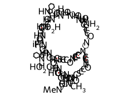 CNCC(=O)CN[C@@H](C)C(=O)N[C@H]1CSCCC(=O)N2CCC(CC2)N2C3CCN(CC3)C(=O)CCSC[C@@H](C(N)=O)NC(=O)[C@@H]3CCCN3C(=O)[C@H](C(C)C)NC(=O)[C@H](Cc3c[nH]c4ccccc34)NC(=O)CNC(=O)[C@H](CC(=O)O)NC(=O)[C@H](C(C)C)NC(=O)[C@H](Cc3c[nH]c4ccccc34)NC(=O)[C@H](CSCCC(=O)N3CCC2CC3)NC(=O)[C@H](CCC(=O)O)NC(=O)[C@H]([C@@H](C)O)NC1=O